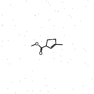 COC(=O)C1C=C(C)CC1